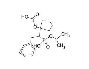 CC(C)OP(=O)(O)C(Cc1ccccc1)C1(OC(=O)O)CCCC1